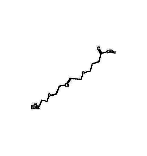 CCCCCCCCCCCCOCCOCCOCCCC(=O)OCC(C)C